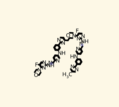 Cc1cnc(-c2cccc(Nc3ccc(/C=N/Nc4ncc(F)c(N5CCOC(Cc6ccnc(-c7cccc(Nc8ccc(/C=N/Nc9ncc(F)c(N%10CCOCC%10)n9)nc8)c7)n6)C5)n4)nc3)c2)nc1